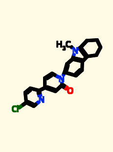 Cn1c2c(c3ccc(-n4ccc(-c5ccc(Cl)cn5)cc4=O)cc31)CCCC2